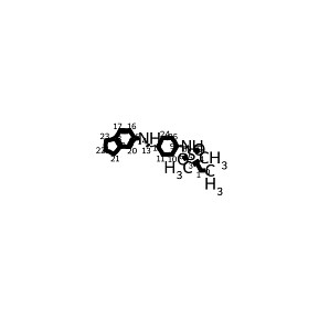 CCC(C)(C)S(=O)(=O)N[C@H]1CC[C@H](CNc2ccc3c(c2)CCC3)CC1